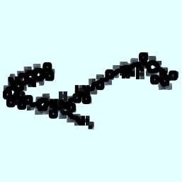 C=C1C2=C(C=C3c4nc5cc6c(cc5cc4CN13)OCO6)[C@](CC)(OC(=O)OCc1ccc(NC(=O)[C@H](CCCCN)NC(=O)COCC(=O)NCCOCCOCCn3cc(CNC(=O)C4CCC(CN5C(=O)C=CC5=O)CC4)nn3)cc1)C(=O)OC2